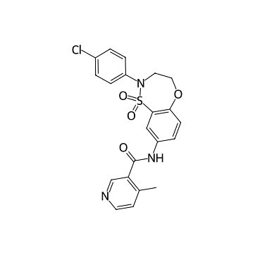 Cc1ccncc1C(=O)Nc1ccc2c(c1)S(=O)(=O)N(c1ccc(Cl)cc1)CCO2